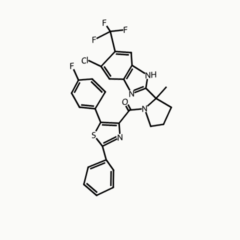 CC1(c2nc3cc(Cl)c(C(F)(F)F)cc3[nH]2)CCCN1C(=O)c1nc(-c2ccccc2)sc1-c1ccc(F)cc1